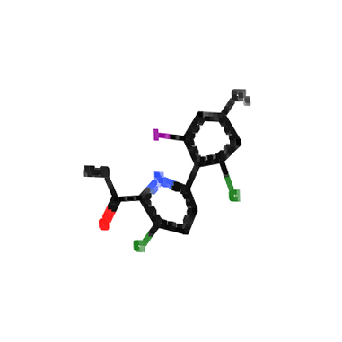 COC(=O)c1nc(-c2c(Cl)cc(C(F)(F)F)cc2I)ccc1Cl